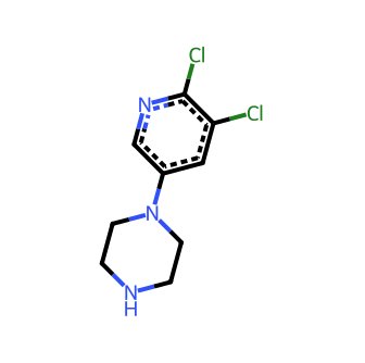 Clc1cc(N2CCNCC2)cnc1Cl